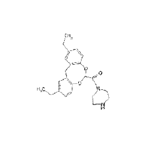 CCc1ccc2c(c1)Cc1cc(CC)ccc1OC(C(=O)N1CCNCC1)O2